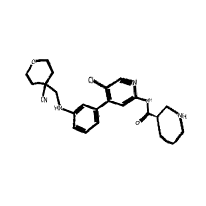 N#CC1(CNc2cccc(-c3cc(NC(=O)[C@@H]4CCCNC4)ncc3Cl)c2)CCOCC1